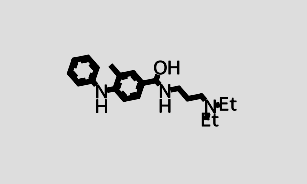 CCN(CC)CCCNC(O)c1ccc(Nc2ccccc2)c(C)c1